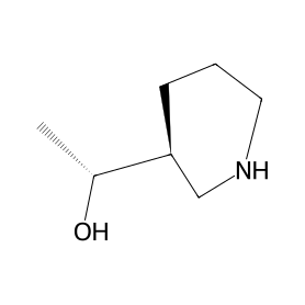 C[C@@H](O)[C@H]1CCCNC1